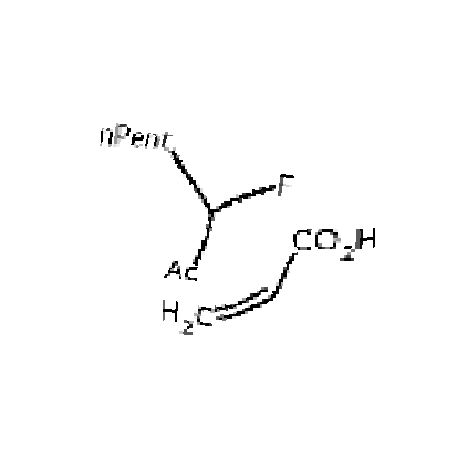 C=CC(=O)O.CCCCCC(F)C(C)=O